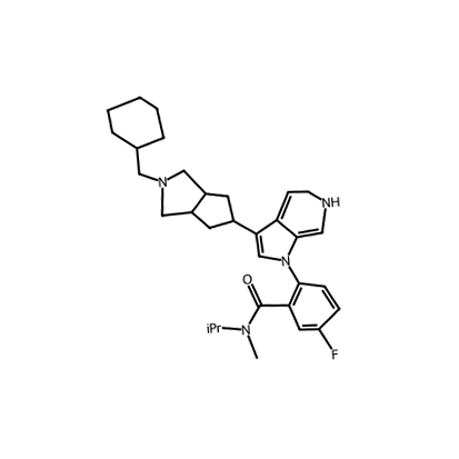 CC(C)N(C)C(=O)c1cc(F)ccc1-n1cc(C2CC3CN(CC4CCCCC4)CC3C2)c2c1=CNCC=2